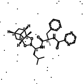 CC(C)C[C@H](NC(=O)[C@@](C)(Cc1ccccc1)NC(=O)c1cnccn1)B1O[C@@H]2C[C@@H]3C[C@@H](C3(C)C)[C@]2(C)O1